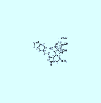 CC(=O)OC[C@H]1O[C@@H](O)[C@@](O)(Oc2cc(C)cc3[nH]nc(CCc4ccc5c(c4)CCO5)c23)[C@@H](O)[C@@H]1O